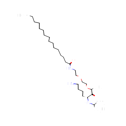 NCCCC[C@H](NC(C(=O)O)C(=O)O)C(=O)C([C]=O)OCCOCCNC(=O)CCCCCCCCCCCCCCC(=O)O